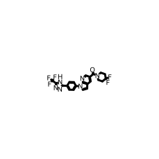 O=C(c1cnc2c(ccn2-c2ccc(-c3nnc(C(F)(F)F)[nH]3)cc2)c1)N1CCC(F)(F)CC1